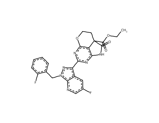 CCOC(=O)C12CCOc3nc(-c4nn(Cc5ccccc5F)c5ncc(F)cc45)nc(c31)NC2=O